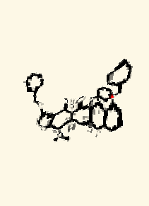 C[C@H]1c2cccc(OCc3ccccc3)c2[C@@H](O)[C@@]2(Sc3ccccc3)C(=O)[C@]3(O)C(=O)c4c(OCc5ccccc5)noc4[C@@H](N(C)C)[C@@H]3C[C@@H]12